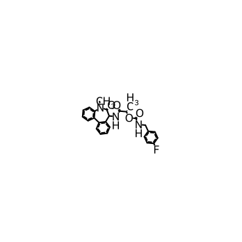 C[C@H](OC(=O)NCc1ccc(F)cc1)C(=O)NC1C(=O)N(C)c2ccccc2-c2ccccc21